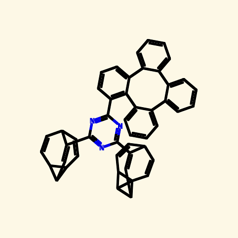 C1=CC2C3C=CC1C(c1nc(C4=CC5C6C7C=CC4C=CC756)nc(-c4cccc5c4-c4ccccc4-c4ccccc4-c4ccccc4-5)n1)=CC23